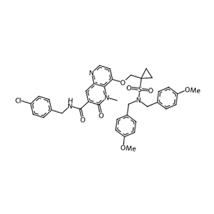 COc1ccc(CN(Cc2ccc(OC)cc2)S(=O)(=O)C2(COc3ccnc4cc(C(=O)NCc5ccc(Cl)cc5)c(=O)n(C)c34)CC2)cc1